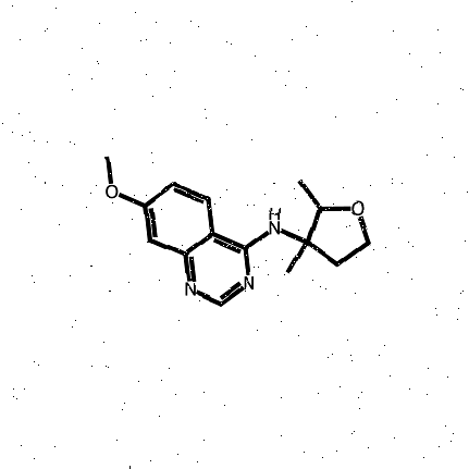 COc1ccc2c(NC3(C)CCOC3C)ncnc2c1